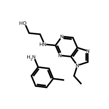 CCn1cnc2cnc(NCCO)nc21.Cc1cccc(N)c1